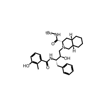 Cc1c(O)cccc1C(=O)N[C@@H](Cc1ccccc1)[C@H](O)CN1C[C@H]2CCCC[C@H]2C[C@H]1C(=O)NC(C)(C)C